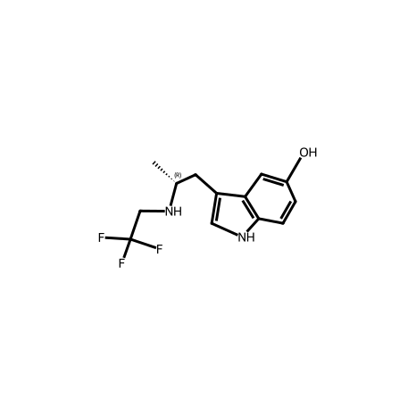 C[C@H](Cc1c[nH]c2ccc(O)cc12)NCC(F)(F)F